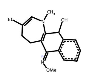 CCC1=CN(C)C2=C(CC1)/C(=N/OC)c1ccccc1C2O